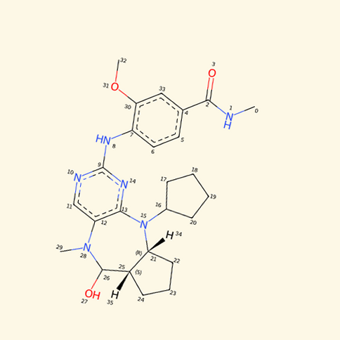 CNC(=O)c1ccc(Nc2ncc3c(n2)N(C2CCCC2)[C@@H]2CCC[C@@H]2C(O)N3C)c(OC)c1